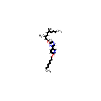 CCCCCCCCOc1ccc(-c2cncc(O[SiH2]CC(C)CCC(C)CCCC)n2)cn1